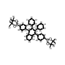 CC1(C)OB(c2ccc(-c3c(-c4ccccc4)c(-c4ccccc4)c(-c4ccc(B5OC(C)(C)C(C)(C)O5)cc4)c4ccccc34)cc2)OC1(C)C